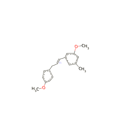 COc1ccc(C/C=C/c2cc(C)cc(OC)c2)cc1